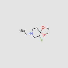 CC(C)(C)CN1CCC2(OCCO2)C(F)C1